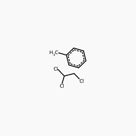 Cc1ccccc1.ClCC(Cl)Cl